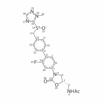 CC(=O)NC[C@H]1CN(c2ccc(-c3ccc(C[S+]([O-])c4ncnn4C)cc3)c(F)c2)C(=O)O1